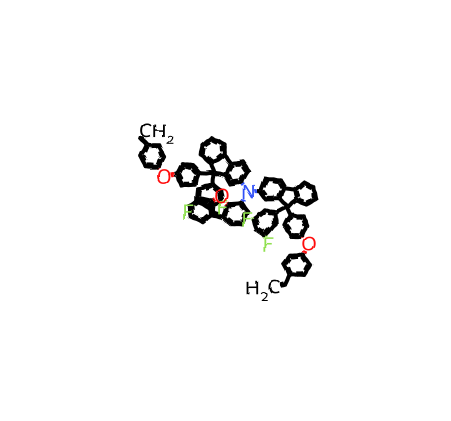 C=Cc1ccc(Oc2ccc(C3(c4cc(F)cc(F)c4)c4ccccc4-c4ccc(N(c5ccc6c(c5)C(c5ccc(Oc7ccc(C=C)cc7)cc5)(c5cc(F)cc(F)c5)c5ccccc5-6)c5cccc6c5oc5ccccc56)cc43)cc2)cc1